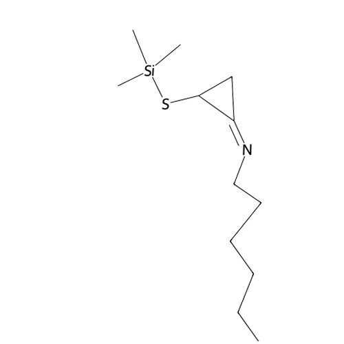 CCCCCCN=C1CC1S[Si](C)(C)C